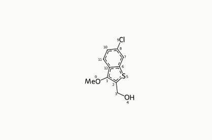 COc1c(CO)sc2cc(Cl)ccc12